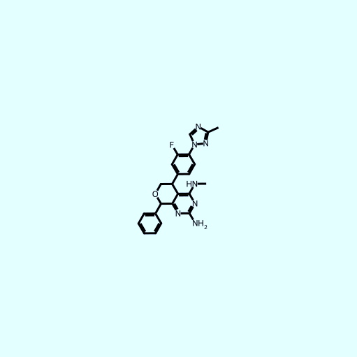 CNc1nc(N)nc2c1C(c1ccc(-n3cnc(C)n3)c(F)c1)COC2c1ccccc1